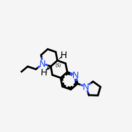 CCCN1CCC[C@H]2Cc3nc(N4CCCC4)ccc3C[C@@H]21